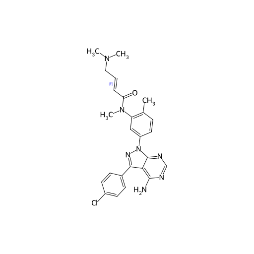 Cc1ccc(-n2nc(-c3ccc(Cl)cc3)c3c(N)ncnc32)cc1N(C)C(=O)/C=C/CN(C)C